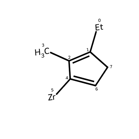 CCC1=C(C)[C]([Zr])=CC1